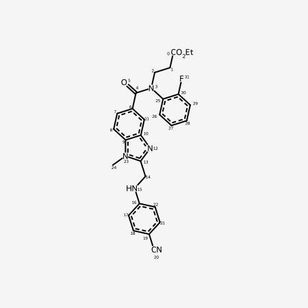 CCOC(=O)CCN(C(=O)c1ccc2c(c1)nc(CNc1ccc(C#N)cc1)n2C)c1ccccc1F